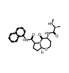 CN[C@@H](C)C(=O)N[C@H]1CCO[C@H]2CCC(C(=O)Nc3cccc4ccccc34)N2C1=O